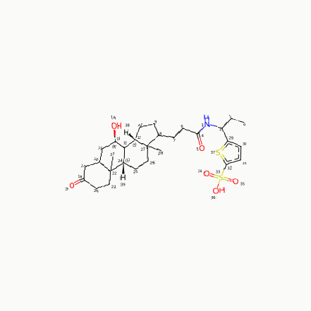 CCC(NC(=O)CCC1CC[C@H]2C3[C@H](O)CC4CC(=O)CCC4(C)[C@H]3CCC12C)c1ccc(S(=O)(=O)O)s1